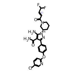 NC(=O)c1c(-c2ccc(Oc3ccc(Cl)cn3)cc2)nn([C@@H]2CCCN(C(=O)/C=C/C(F)F)C2)c1N